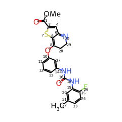 COC(=O)c1cc2c(s1)=C(Oc1cccc(NC(=O)Nc3cc(C)ccc3F)c1)CCN=2